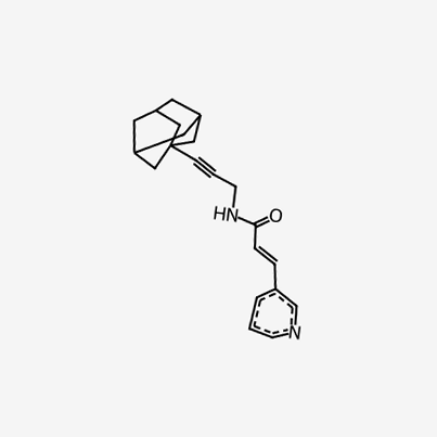 O=C(C=Cc1cccnc1)NCC#CC12CC3CC(CC(C3)C1)C2